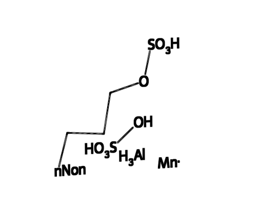 CCCCCCCCCCCCOS(=O)(=O)O.O=S(=O)(O)O.[AlH3].[Mn]